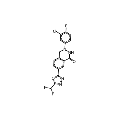 O=C1NN(c2ccc(F)c(Cl)c2)Cc2ccc(-c3nnc(C(F)F)o3)cc21